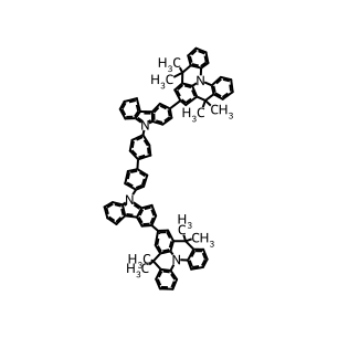 CC1(C)c2ccccc2N2c3ccccc3C(C)(C)c3cc(-c4ccc5c(c4)c4ccccc4n5-c4ccc(-c5ccc(-n6c7ccccc7c7cc(-c8cc9c%10c(c8)C(C)(C)c8ccccc8N%10c8ccccc8C9(C)C)ccc76)cc5)cc4)cc1c32